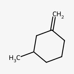 C=C1CCCC(C)C1